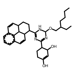 CCCCC(CC)COC1N=C(C2CCC(O)=CC2O)N=C(C2CCC3C=Cc4cccc5c4C3C2C=C5)N1